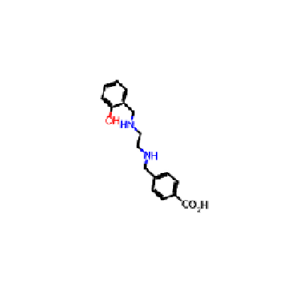 O=C(O)c1ccc(CNCCNCc2ccccc2O)cc1